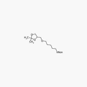 CCCCCCCCCCCCCCOCC1COC(C)(C)O1